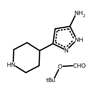 CC(C)(C)OC=O.Nc1cc(C2CCNCC2)n[nH]1